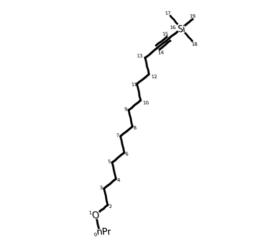 CCCOCCCCCCCCCCCCC#C[Si](C)(C)C